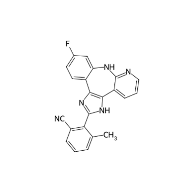 Cc1cccc(C#N)c1-c1nc2c([nH]1)-c1cccnc1Nc1cc(F)ccc1-2